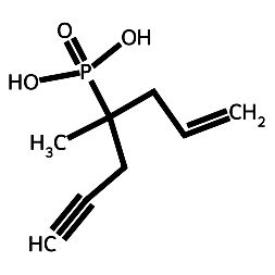 C#CCC(C)(CC=C)P(=O)(O)O